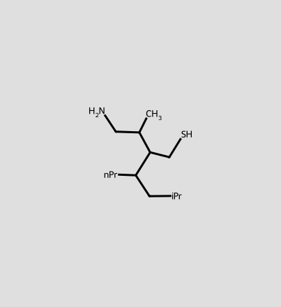 CCCC(CC(C)C)C(CS)C(C)CN